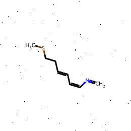 C=N/C=C\C=CCCSC